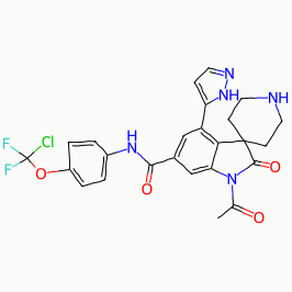 CC(=O)N1C(=O)C2(CCNCC2)c2c(-c3ccn[nH]3)cc(C(=O)Nc3ccc(OC(F)(F)Cl)cc3)cc21